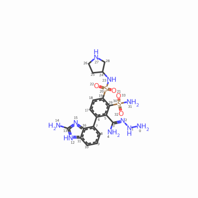 NN/N=C(\N)c1c(-c2cccc3[nH]c(N)nc23)ccc(S(=O)(=O)NC2CCNC2)c1S(N)(=O)=O